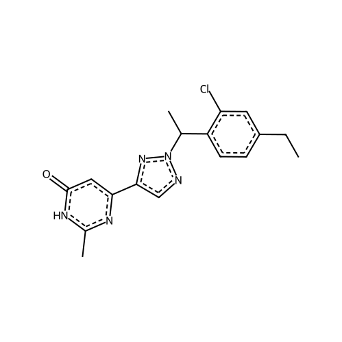 CCc1ccc(C(C)n2ncc(-c3cc(=O)[nH]c(C)n3)n2)c(Cl)c1